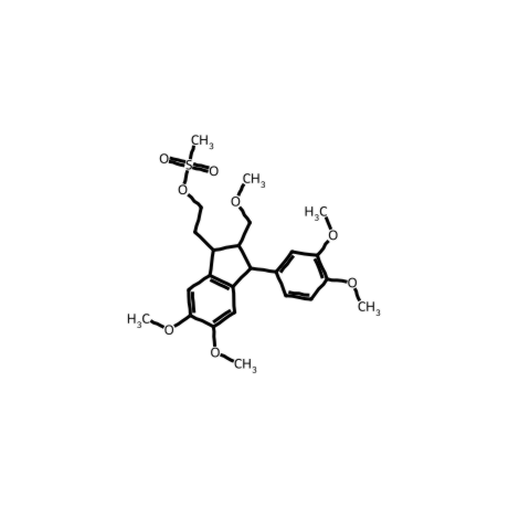 COCC1C(CCOS(C)(=O)=O)c2cc(OC)c(OC)cc2C1c1ccc(OC)c(OC)c1